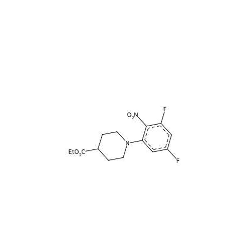 CCOC(=O)C1CCN(c2cc(F)cc(F)c2[N+](=O)[O-])CC1